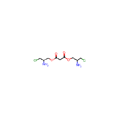 NC(CCl)COC(=O)CC(=O)OCC(N)CCl